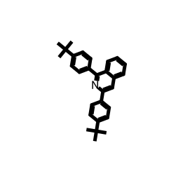 CC(C)(C)c1ccc(-c2cc3ccccc3c(-c3ccc(C(C)(C)C)cc3)n2)cc1